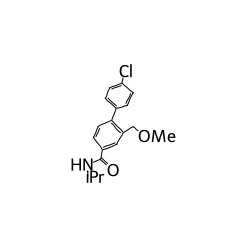 COCc1cc(C(=O)NC(C)C)ccc1-c1ccc(Cl)cc1